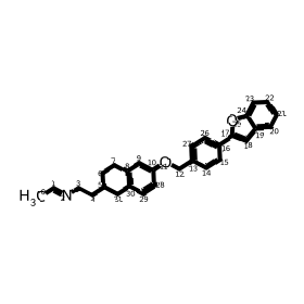 C/C=N/CCC1CCc2cc(OCc3ccc(-c4cc5ccccc5o4)cc3)ccc2C1